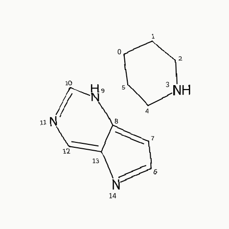 C1CCNCC1.c1cc2[nH]cncc-2n1